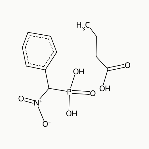 CCCC(=O)O.O=[N+]([O-])C(c1ccccc1)P(=O)(O)O